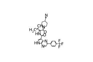 C=C(C)[C@@H](NC(=O)c1c[nH]c2ncc(-c3ccc(C(F)(F)F)cc3)nc12)C(=O)N1CCC(C#N)CC1